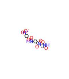 O=C1CCC(N2C(=O)c3ccc(NC(=O)Oc4ccc([N+](=O)[O-])cc4)cc3C2=O)C(=O)N1